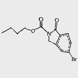 CCCCOC(=O)N1Cc2cc(Br)ccc2C1=O